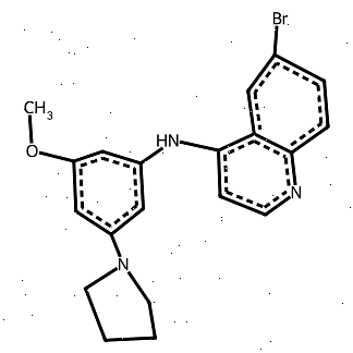 COc1cc(Nc2ccnc3ccc(Br)cc23)cc(N2CCCC2)c1